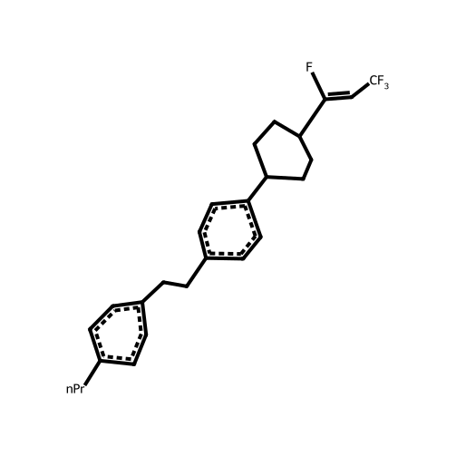 CCCc1ccc(CCc2ccc(C3CCC(/C(F)=C/C(F)(F)F)CC3)cc2)cc1